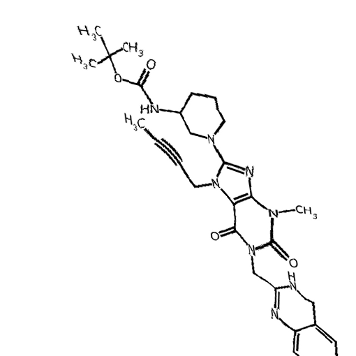 CC#CCn1c(N2CCCC(NC(=O)OC(C)(C)C)C2)nc2c1c(=O)n(CC1=Nc3ccccc3CN1)c(=O)n2C